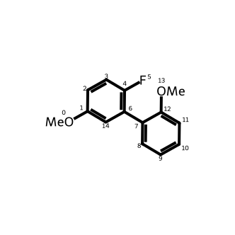 COc1ccc(F)c(-c2ccccc2OC)c1